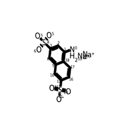 Nc1cc(S(=O)(=O)[O-])cc2cc(S(=O)(=O)[O-])ccc12.[Na+].[Na+]